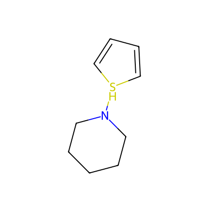 C1=C[SH](N2CCCCC2)C=C1